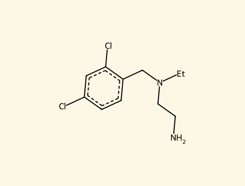 CCN(CCN)Cc1ccc(Cl)cc1Cl